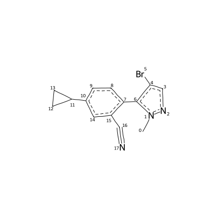 Cn1ncc(Br)c1-c1ccc(C2CC2)cc1C#N